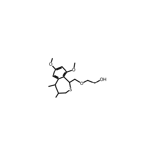 COc1cc(OC)c2c(c1)C(C)C(C)CSC2COCCO